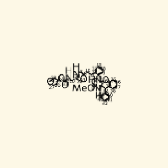 COC(=O)N[C@H](C(=O)Nc1ccccc1CC[C@@H]1CN[C@H](CNC(=O)OC2CCOC2)CO1)C(c1ccccc1)c1ccccc1